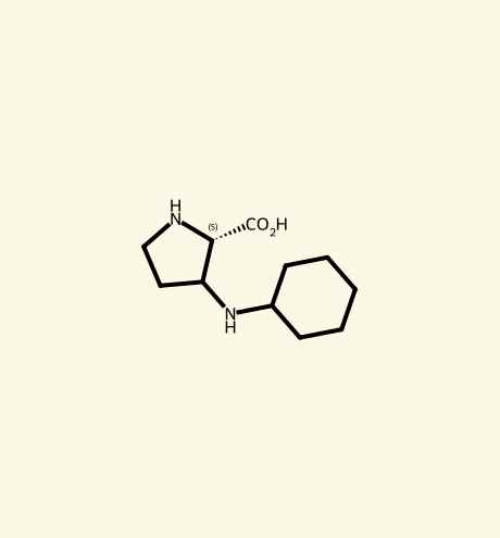 O=C(O)[C@H]1NCCC1NC1CCCCC1